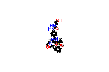 C[C@H]1COC[C@H](C)N1c1cc(C2(S(=O)(=O)c3ccccc3)CC2)nc(-c2ccc(NC(=O)NCCO)cc2)n1